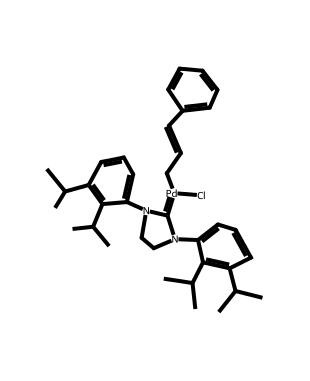 CC(C)c1cccc(N2CCN(c3cccc(C(C)C)c3C(C)C)[C]2=[Pd]([Cl])[CH2]C=Cc2ccccc2)c1C(C)C